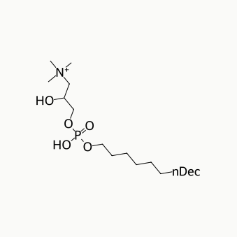 CCCCCCCCCCCCCCCCOP(=O)(O)OCC(O)C[N+](C)(C)C